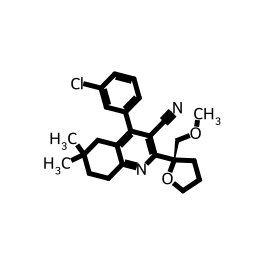 COC[C@@]1(c2nc3c(c(-c4cccc(Cl)c4)c2C#N)CC(C)(C)CC3)CCCO1